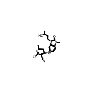 Cc1cc(Nc2ccc3c(c2)n(CCC(C)O)c(=O)n3C)c(C#N)c(Cl)n1